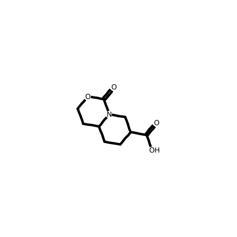 O=C(O)C1CCC2CCOC(=O)N2C1